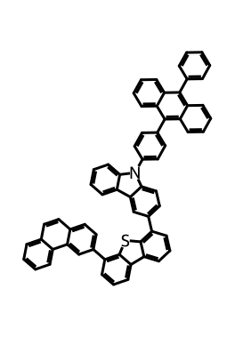 c1ccc(-c2c3ccccc3c(-c3ccc(-n4c5ccccc5c5cc(-c6cccc7c6sc6c(-c8ccc9ccc%10ccccc%10c9c8)cccc67)ccc54)cc3)c3ccccc23)cc1